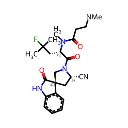 CNCCC(=O)N(C)[C@@H](CC(C)(C)F)C(=O)N1C[C@]2(C[C@H]1C#N)C(=O)Nc1ccccc12